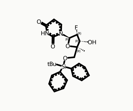 CC(C)(C)[Si](OC[C@@]1(C)O[C@@H](n2ccc(=O)[nH]c2=O)[C@H](F)[C@@H]1O)(c1ccccc1)c1ccccc1